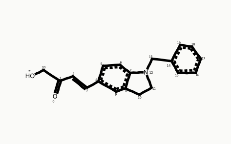 O=C(/C=C/c1ccc2c(c1)CCN2Cc1ccccc1)CO